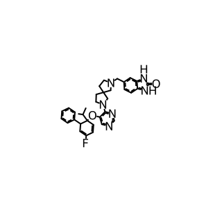 CC(C)C1(Oc2cncnc2N2CCC3(CCN(Cc4ccc5[nH]c(=O)[nH]c5c4)C3)C2)C=CC(F)=CC1c1ccccc1